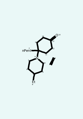 C=C.CCCCCC1(N2CCC(CC)CC2)CCC(=O)CC1